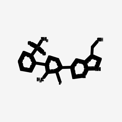 Cc1c(-c2ccccc2S(N)(=O)=O)ccc(-c2cnc3[nH]cc(CO)c3c2)c1F